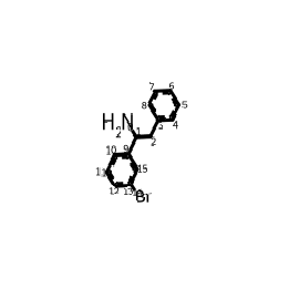 NC(Cc1ccccc1)c1cccc(Br)c1